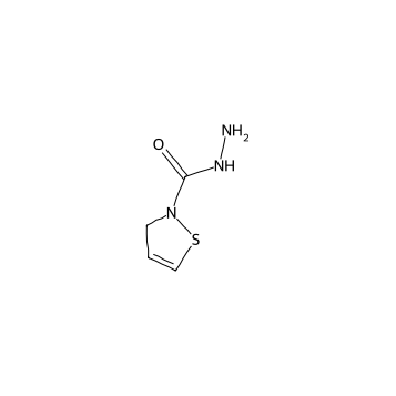 NNC(=O)N1CC=CS1